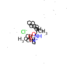 C[C@H](CCC(=O)NCC[N+]1(COC(=O)C(C)(C)C)CCCC1)[C@H]1CCC2C3CCC4CCCC[C@]4(C)C3CC[C@@]21C.[Cl-]